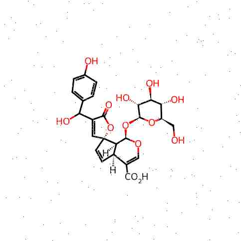 O=C(O)C1=CO[C@H](O[C@@H]2O[C@H](CO)[C@@H](O)[C@H](O)[C@H]2O)[C@H]2[C@@H]1C=C[C@@]21C=C(C(O)c2ccc(O)cc2)C(=O)O1